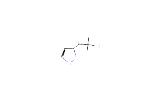 CC(C)(C)CC1C=CNN1